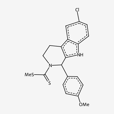 COc1ccc(C2c3[nH]c4ccc(Cl)cc4c3CCN2C(=S)SC)cc1